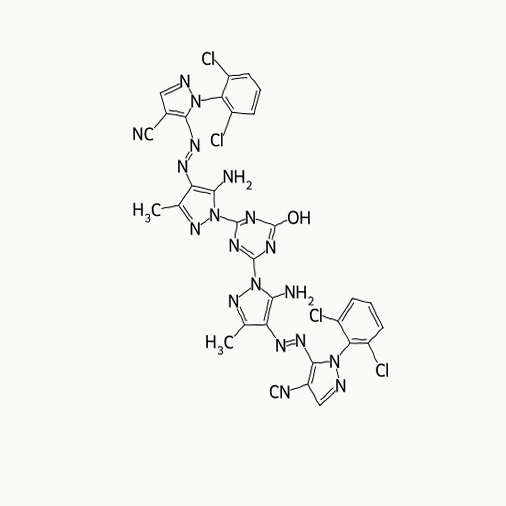 [C-]#[N+]c1cnn(-c2c(Cl)cccc2Cl)c1N=Nc1c(C)nn(-c2nc(O)nc(-n3nc(C)c(N=Nc4c(C#N)cnn4-c4c(Cl)cccc4Cl)c3N)n2)c1N